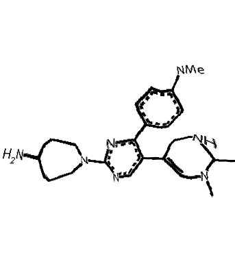 CNc1ccc(-c2nc(N3CCC(N)CC3)ncc2C2=CN(C)C(C)NC2)cc1